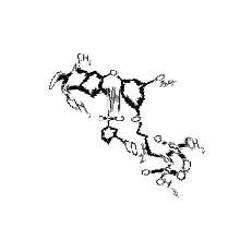 CCCOc1cc(OCCCCN(S(C)(=O)=O)S(C)(=O)=O)cc(Oc2cc3c(cc2NS(=O)(=O)c2cccc(C(=O)O)c2)n(C)c(=O)n3C)c1